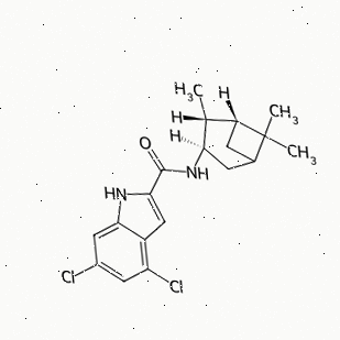 C[C@@H]1[C@H]2CC(C[C@H]1NC(=O)c1cc3c(Cl)cc(Cl)cc3[nH]1)C2(C)C